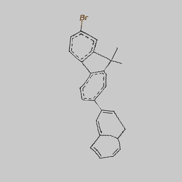 CC1(C)c2cc(Br)ccc2-c2ccc(C3=CCC4C=CC=CC4=C3)cc21